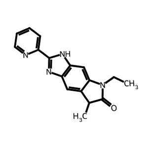 CCN1C(=O)C(C)c2cc3nc(-c4ccccn4)[nH]c3cc21